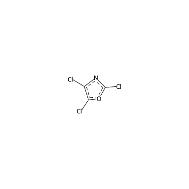 Clc1nc(Cl)c(Cl)o1